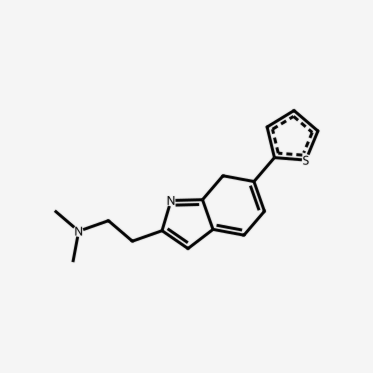 CN(C)CCC1=CC2=CC=C(c3cccs3)CC2=N1